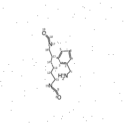 NCc1ccccc1.O=C=NCCCCCCN=C=O